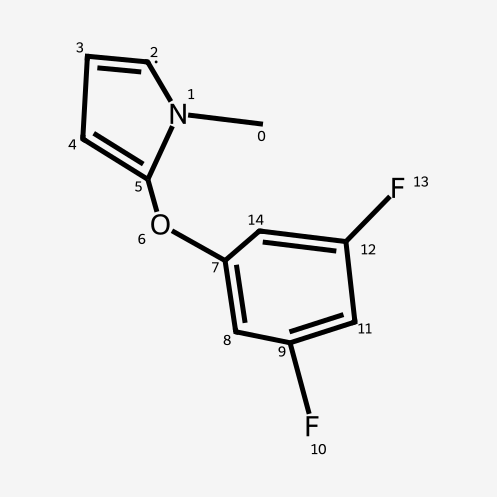 Cn1[c]ccc1Oc1cc(F)cc(F)c1